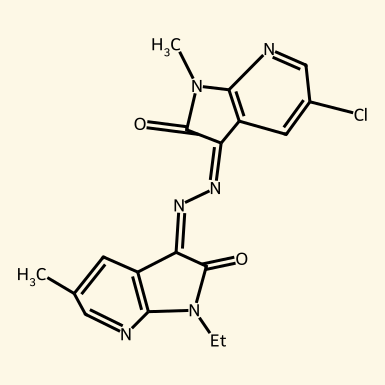 CCN1C(=O)/C(=N\N=C2/C(=O)N(C)c3ncc(Cl)cc32)c2cc(C)cnc21